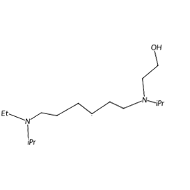 CCN(CCC[CH]CCN(CCO)C(C)C)C(C)C